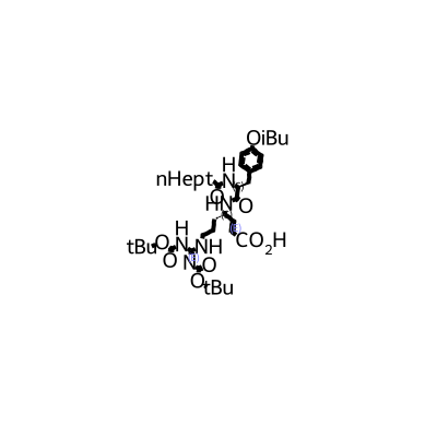 CCCCCCCC(=O)N[C@@H](Cc1ccc(OCC(C)C)cc1)C(=O)N[C@H](/C=C/C(=O)O)CCCN/C(=N\C(=O)OC(C)(C)C)NC(=O)OC(C)(C)C